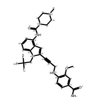 COc1cc(C(N)=O)ccc1NCC#Cc1cc2c(NC(=O)N3CCN(C)CC3)cccc2n1CC(F)(F)F